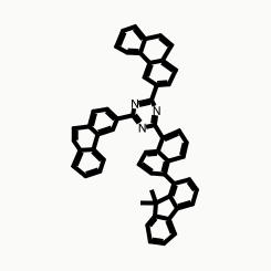 CC1(C)c2ccccc2-c2cccc(-c3cccc4c(-c5nc(-c6ccc7ccc8ccccc8c7c6)nc(-c6ccc7ccc8ccccc8c7c6)n5)cccc34)c21